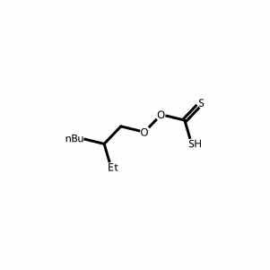 CCCCC(CC)COOC(=S)S